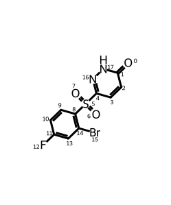 O=c1ccc(S(=O)(=O)c2ccc(F)cc2Br)n[nH]1